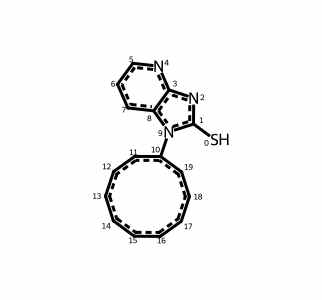 Sc1nc2ncccc2n1-c1ccccccccc1